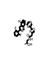 C[C@H](O)CNC(=O)Cc1coc(-c2cncc([C@]34CC[C@@H](c5cc(-c6c(F)cccc6F)nnc53)C4(C)C)n2)n1